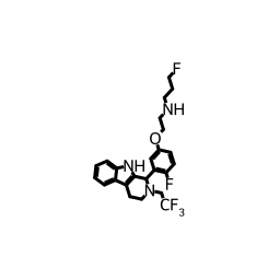 FCCCNCCOc1ccc(F)c(C2c3[nH]c4ccccc4c3CCN2CC(F)(F)F)c1